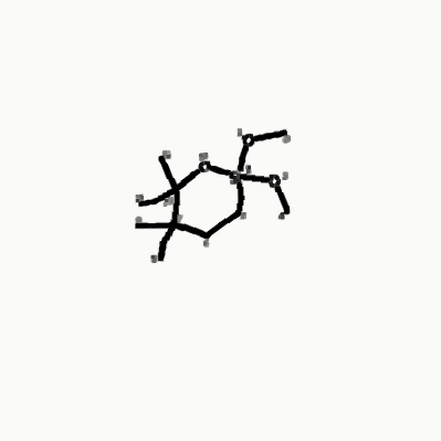 CO[Si]1(OC)CCC(C)(C)C(C)(C)O1